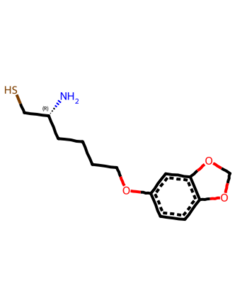 N[C@@H](CS)CCCCOc1ccc2c(c1)OCO2